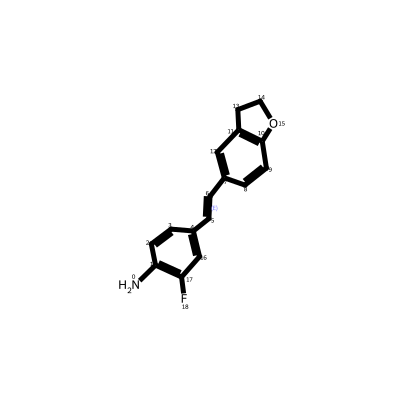 Nc1ccc(/C=C/c2ccc3c(c2)CCO3)cc1F